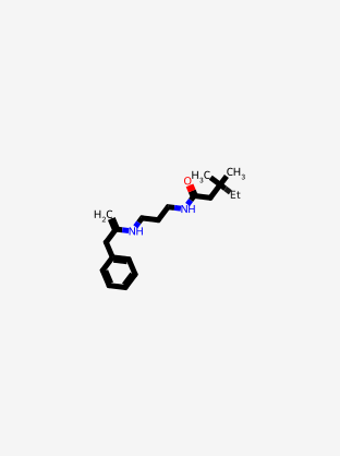 C=C(Cc1ccccc1)NCCCNC(=O)CC(C)(C)CC